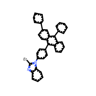 CCc1nc2ccccc2n1-c1ccc(-c2c3ccccc3c(-c3ccccc3)c3cc(-c4ccccc4)ccc23)cc1